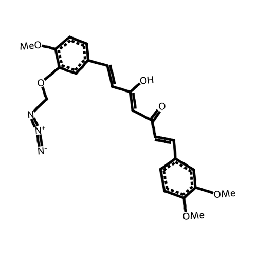 COc1ccc(/C=C/C(=O)/C=C(O)/C=C/c2ccc(OC)c(OCN=[N+]=[N-])c2)cc1OC